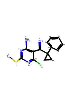 CCSc1nc(N)c(C(=N)C2(c3ccccc3)CC2)c(Cl)n1